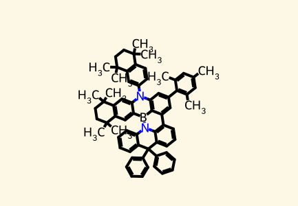 Cc1cc(C)c(-c2cc3c4c(c2)N(c2ccc5c(c2)C(C)(C)CCC5(C)C)c2cc5c(cc2B4N2c4ccccc4C(c4ccccc4)(c4ccccc4)c4cccc-3c42)C(C)(C)CCC5(C)C)c(C)c1